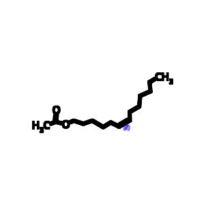 CCCCCC/C=C\CCCCCOC(C)=O